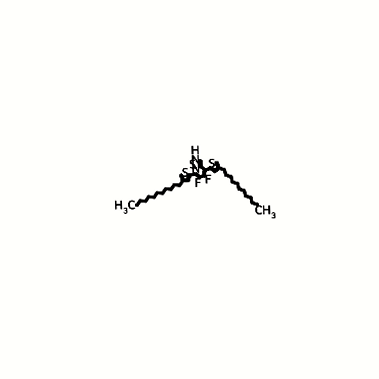 CCCCCCCCCCCCc1csc(C2=C(F)C(F)=C(c3cc(CCCCCCCCCCCC)cs3)N3SNC=C23)c1